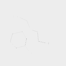 CCOCCO.OC1CCCCC1